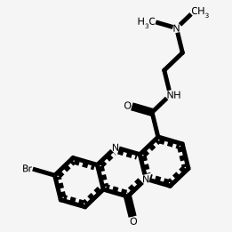 CN(C)CCNC(=O)c1cccn2c(=O)c3ccc(Br)cc3nc12